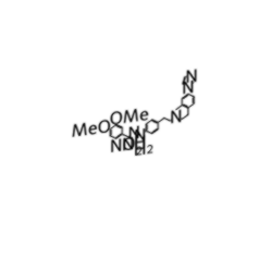 COc1cc(/C(N)=N/Nc2ccc(CCN3CCc4ccc(-n5ccnc5)cc4C3)cc2)c([N+](=O)[O-])cc1OC